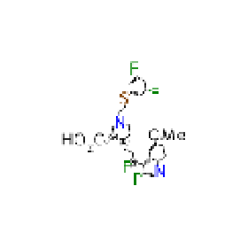 COc1ccc2ncc(F)c([C@@H](F)CC[C@@H]3CCN(CCSc4cc(F)cc(F)c4)C[C@H]3CC(=O)O)c2c1